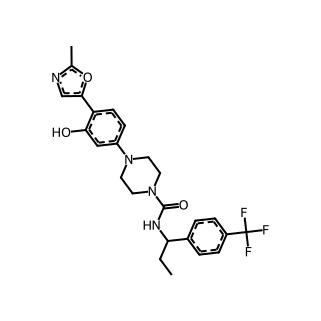 CCC(NC(=O)N1CCN(c2ccc(-c3cnc(C)o3)c(O)c2)CC1)c1ccc(C(F)(F)F)cc1